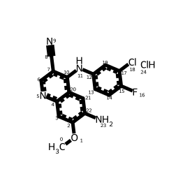 COc1cc2ncc(C#N)c(Nc3ccc(F)c(Cl)c3)c2cc1N.Cl